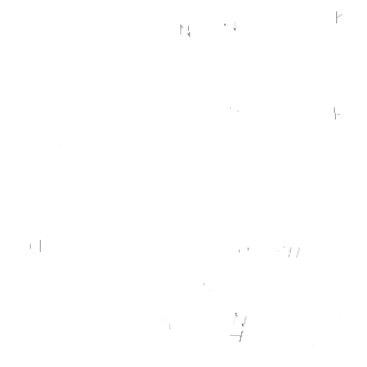 CC1(NS(=O)(=O)c2cc(Cl)c3scc(-c4nnc(C(F)F)s4)c3c2)CC1